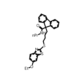 CCCNC(=O)C1(CCCCSc2nc3ccc(OCC)cc3s2)c2ccccc2-c2ccccc21